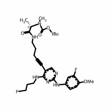 COc1ccc(Nc2ncc(C#CCCCNC(=O)[C@H](C)N(C)C(=O)OC(C)(C)C)c(NCCCF)n2)cc1F